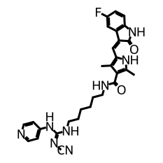 Cc1[nH]c(/C=C2\C(=O)Nc3ccc(F)cc32)c(C)c1C(=O)NCCCCCCN/C(=N\C#N)Nc1ccncc1